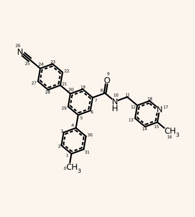 Cc1ccc(-c2cc(C(=O)NCc3ccc(C)nc3)cc(-c3ccc(C#N)cc3)c2)cc1